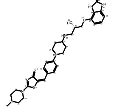 CN1CCN(C2=NC(=O)C(=Cc3ccc(N4CCC(NC[C@H](O)COc5cccc6[nH]c(=O)[nH]c56)CC4)cc3)S2)CC1